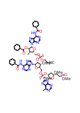 [C-]#[N+]CCOP(=S)(OC[C@H]1O[C@@H](n2cnc3c(NC(=O)c4ccccc4)ncnc32)[C@H](OC(=O)c2ccccc2)[C@@H]1C)O[C@@H]1[C@H](OC)[C@@H](COP(=S)(OC)O[C@@H]2C[C@@H](CCP(=O)(OC)OC)O[C@H]2n2cnc3c(C)ncnc32)O[C@H]1n1cnc2c(NC(=O)c3ccccc3)ncnc21